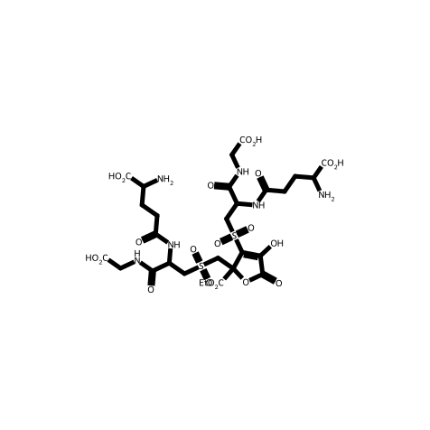 CCOC(=O)C1(CS(=O)(=O)CC(NC(=O)CCC(N)C(=O)O)C(=O)NCC(=O)O)OC(=O)C(O)=C1S(=O)(=O)CC(NC(=O)CCC(N)C(=O)O)C(=O)NCC(=O)O